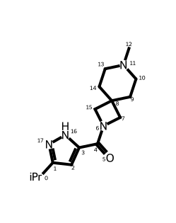 CC(C)c1cc(C(=O)N2CC3(CCN(C)CC3)C2)[nH]n1